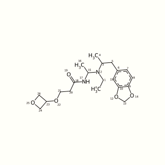 CCN(C(C)Cc1ccc2c(c1)OCO2)C(C)NC(=O)CCOC1COC1